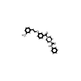 Cc1cccc(CCOc2cccc(C(=O)N3CCN(C(=O)Nc4ccccc4)CC3)c2)c1